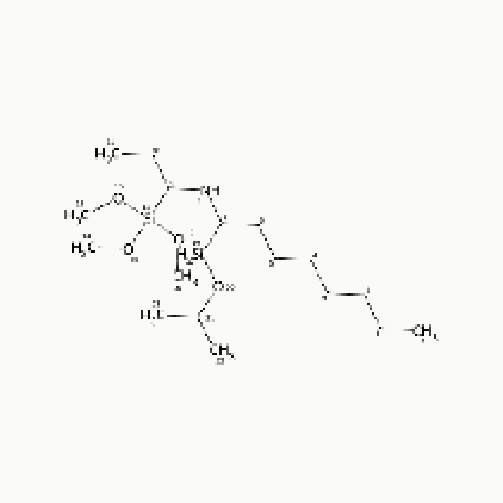 CCCCCCCC(NC(CC)[Si](OC)(OC)OC)[SiH2]OC(C)C